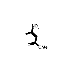 COC(=O)C=C(C)[N+](=O)[O-]